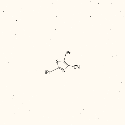 CC(C)c1nc(C#N)c(C(C)C)s1